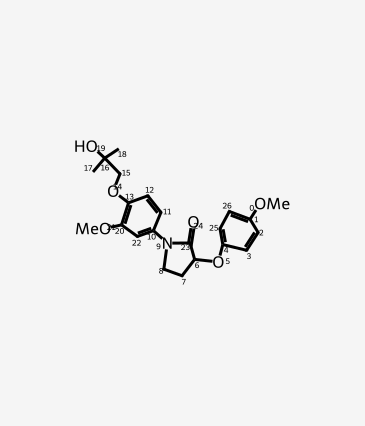 COc1ccc(OC2CCN(c3ccc(OCC(C)(C)O)c(OC)c3)C2=O)cc1